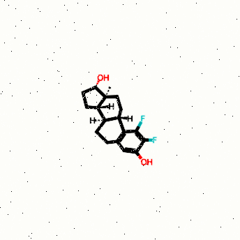 C[C@]12CC[C@@H]3c4c(cc(O)c(F)c4F)CC[C@H]3[C@@H]1CC[C@@H]2O